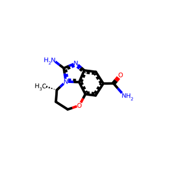 C[C@H]1CCOc2cc(C(N)=O)cc3nc(N)n1c23